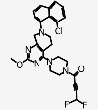 COc1nc2c(c(N3CCN(C(=O)C#CC(F)F)CC3)n1)CCN(c1cccc3cccc(Cl)c13)C2